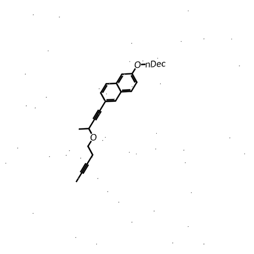 CC#CCCOC(C)C#Cc1ccc2cc(OCCCCCCCCCC)ccc2c1